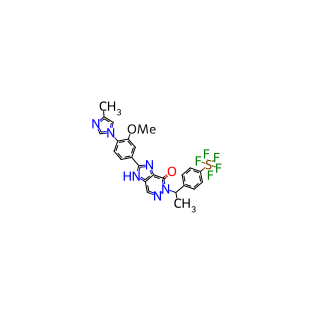 COc1cc(-c2nc3c(=O)n(C(C)c4ccc(S(F)(F)(F)(F)F)cc4)ncc3[nH]2)ccc1-n1cnc(C)c1